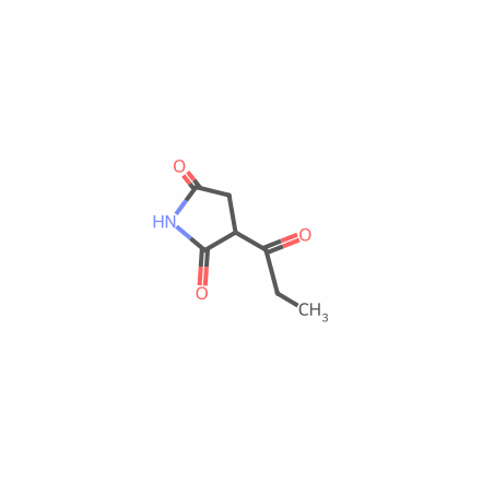 CCC(=O)C1CC(=O)NC1=O